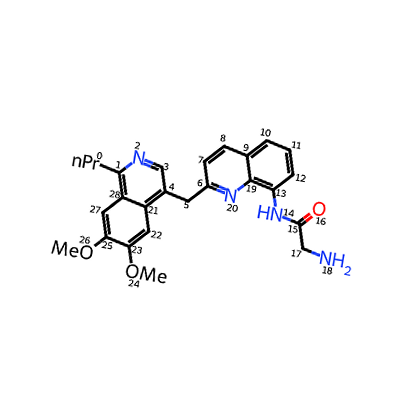 CCCc1ncc(Cc2ccc3cccc(NC(=O)CN)c3n2)c2cc(OC)c(OC)cc12